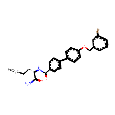 NC(=O)[C@H](CCC(=O)O)NC(=O)c1ccc(-c2ccc(OCc3cccc(Br)c3)cc2)cc1